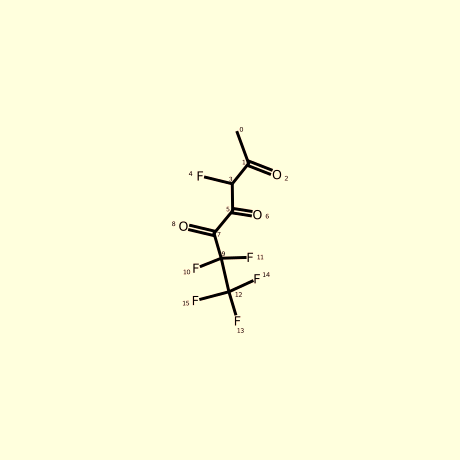 CC(=O)C(F)C(=O)C(=O)C(F)(F)C(F)(F)F